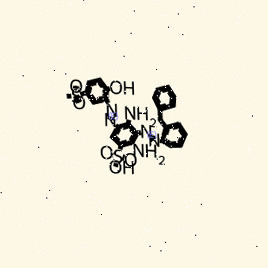 CS(=O)(=O)c1ccc(O)c(/N=N/c2cc(S(=O)(=O)O)c(N)c(/N=N/c3ccccc3Cc3ccccc3)c2N)c1